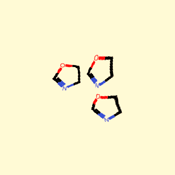 C1=NCCO1.C1=NCCO1.C1=NCCO1